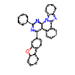 c1ccc(-c2nc(-c3ccc4c(c3)oc3ccccc34)c3c4ccccc4c4nc5ccccc5n4c3n2)cc1